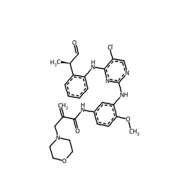 C=C(CN1CCOCC1)C(=O)Nc1ccc(OC)c(Nc2ncc(Cl)c(Nc3ccccc3[C@@H](C)C=O)n2)c1